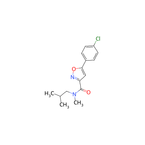 CC(C)CN(C)C(=O)c1cc(-c2ccc(Cl)cc2)on1